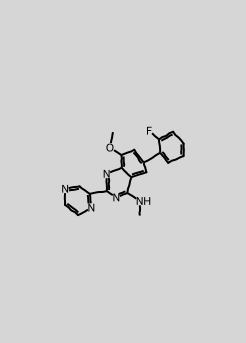 CNc1nc(-c2cnccn2)nc2c(OC)cc(-c3ccccc3F)cc12